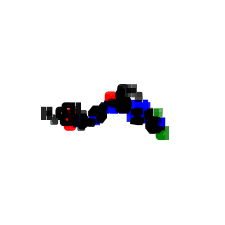 CCc1cc(Nc2nccn3c(-c4ccc(Cl)nc4F)cnc23)ccc1C(=O)NCC1CCN(CC2CN(C(=O)OC(C)(C)C)C2)CC1